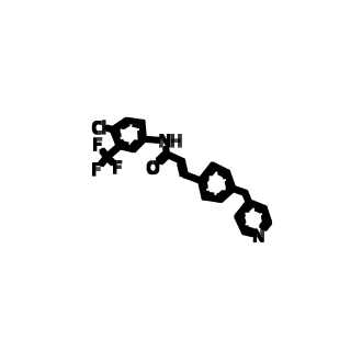 O=C(/C=C/c1ccc(Cc2ccncc2)cc1)Nc1ccc(Cl)c(C(F)(F)F)c1